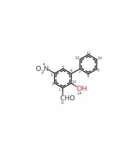 O=Cc1cc([N+](=O)[O-])cc(-c2ccccc2)c1O